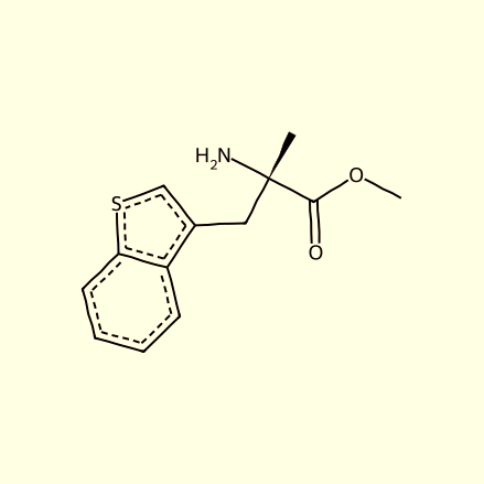 COC(=O)[C@@](C)(N)Cc1csc2ccccc12